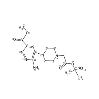 COC(=O)c1cc(N2CCN(CC(=O)OC(C)(C)C)CC2)c(N)nn1